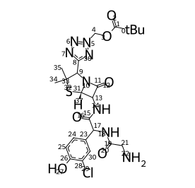 CC(C)(C)C(=O)OCn1nnc(C2N3C(=O)C(NC(=O)C(NC(=O)CN)c4ccc(O)c(Cl)c4)[C@@H]3SC2(C)C)n1